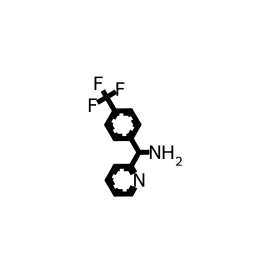 NC(c1ccc(C(F)(F)F)cc1)c1ccccn1